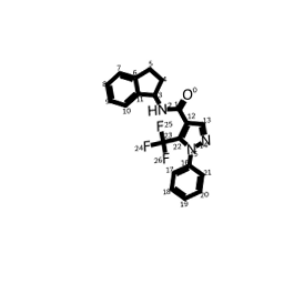 O=C(NC1CCc2ccccc21)c1cnn(-c2ccccc2)c1C(F)(F)F